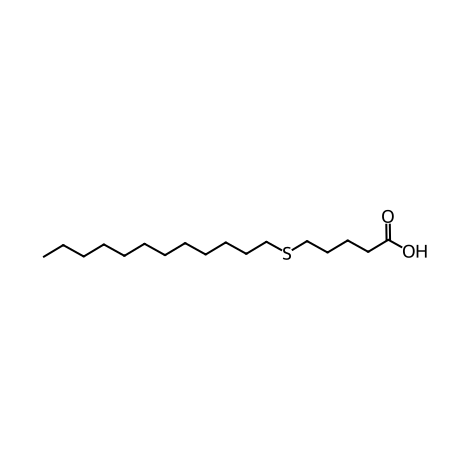 CCCCCCCCCCCCSCCCCC(=O)O